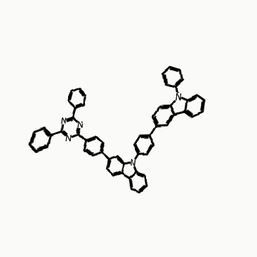 c1ccc(-c2nc(-c3ccccc3)nc(-c3ccc(-c4ccc5c6ccccc6n(-c6ccc(-c7ccc8c(c7)c7ccccc7n8-c7ccccc7)cc6)c5c4)cc3)n2)cc1